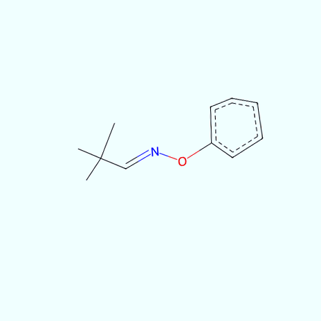 CC(C)(C)/C=N/Oc1ccccc1